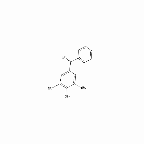 [CH2]CC(c1ccccc1)c1cc(C(C)(C)C)c(O)c(C(C)(C)C)c1